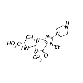 CCn1c(N2CCNCC2)nc2nc(NC(C)C(=O)O)n(C)c(=O)c21